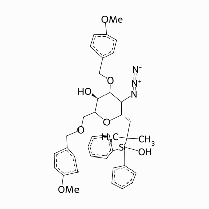 COc1ccc(COCC2O[C@@H](CC(C)(C)[Si](O)(c3ccccc3)c3ccccc3)C(N=[N+]=[N-])C(OCc3ccc(OC)cc3)[C@@H]2O)cc1